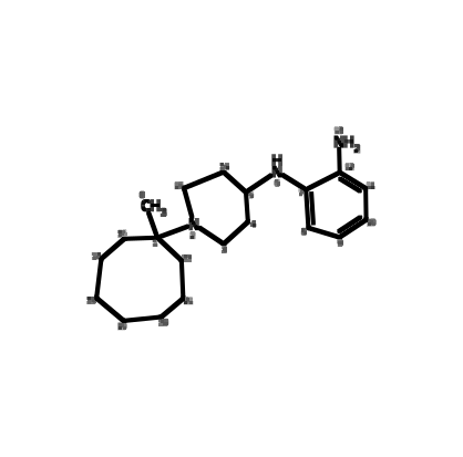 CC1(N2CCC(Nc3ccccc3N)CC2)CCCCCCC1